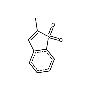 [CH2]C1=Cc2ccccc2S1(=O)=O